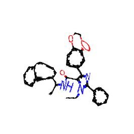 CCn1c(-c2ccccc2)nc(-c2ccc3c(c2)OCCO3)c1C(=O)NC(C)c1cccc2ccccc12